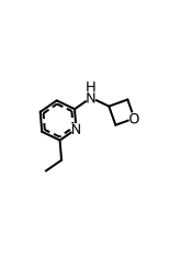 CCc1cccc(NC2COC2)n1